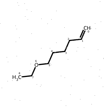 [CH]=CCCC[CH]OCC